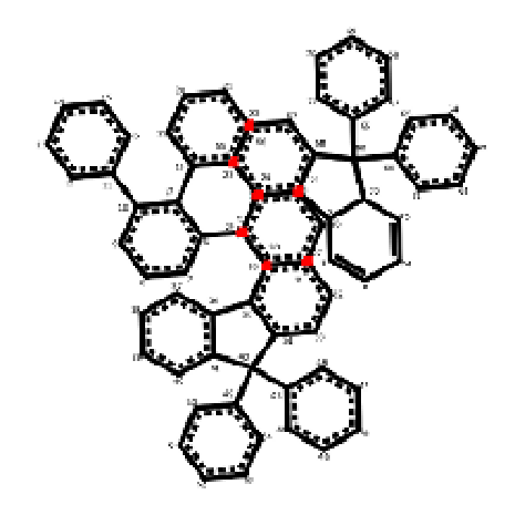 C1=CC2c3c(N(c4cccc(-c5ccccc5)c4-c4ccccc4-c4ccccc4)c4cccc5c4-c4ccccc4C5(c4ccccc4)c4ccccc4)cccc3C(c3ccccc3)(c3ccccc3)C2C=C1